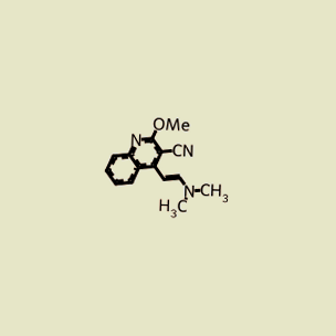 COc1nc2ccccc2c(/C=C/N(C)C)c1C#N